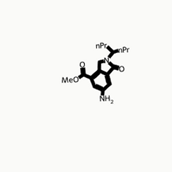 CCCC(CCC)N1Cc2c(C(=O)OC)cc(N)cc2C1=O